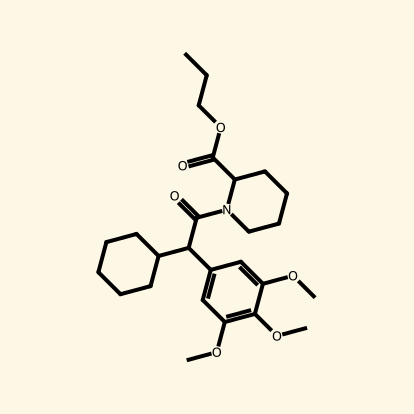 CCCOC(=O)C1CCCCN1C(=O)C(c1cc(OC)c(OC)c(OC)c1)C1CCCCC1